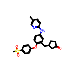 Cc1ccc(Nc2ccc(Oc3ccc(S(C)(=O)=O)cc3)c(CC3CCC(=O)C3)c2)nc1